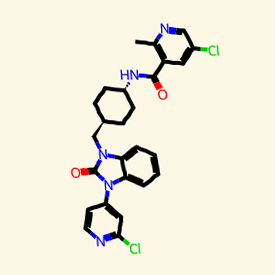 Cc1ncc(Cl)cc1C(=O)N[C@H]1CC[C@H](Cn2c(=O)n(-c3ccnc(Cl)c3)c3ccccc32)CC1